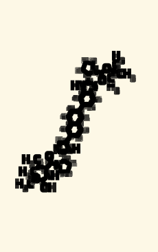 COC(O)NC(C(=O)N1CCC[C@H]1c1ncc(-c2ccc3cc(-c4ccc5nc([C@@H]6CCCN6C(=O)OC(C)(C)C)[nH]c5c4)ccc3c2)[nH]1)C(C)C